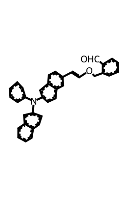 O=Cc1ccccc1COC=Cc1ccc2cc(N(c3ccccc3)c3ccc4ccccc4c3)ccc2c1